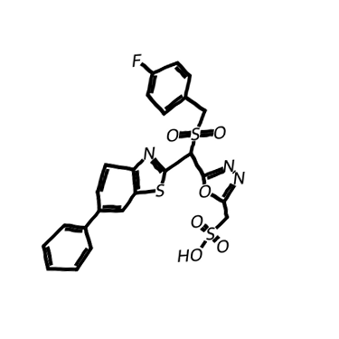 O=S(=O)(O)Cc1nnc(C(c2nc3ccc(-c4ccccc4)cc3s2)S(=O)(=O)Cc2ccc(F)cc2)o1